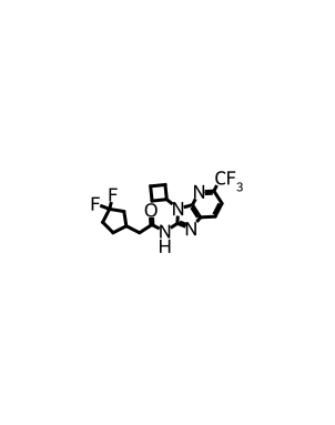 O=C(CC1CCC(F)(F)C1)Nc1nc2ccc(C(F)(F)F)nc2n1C1CCC1